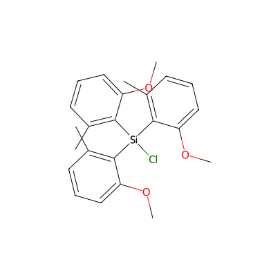 COc1cccc(C)c1[Si](Cl)(c1c(C)cccc1OC)c1c(C)cccc1OC